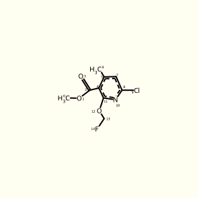 COC(=O)c1c(C)cc(Cl)nc1OCF